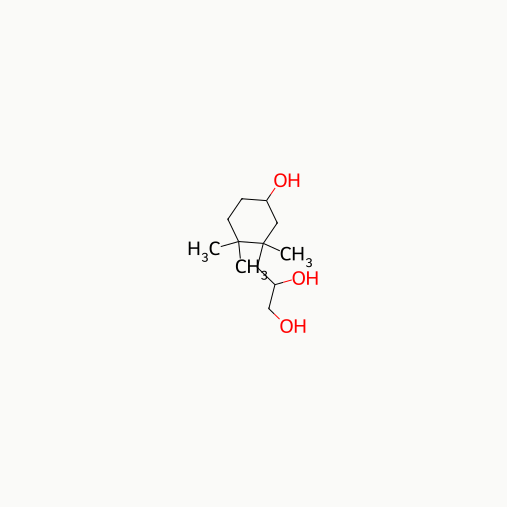 CC1(C)CCC(O)CC1(C)CC(O)CO